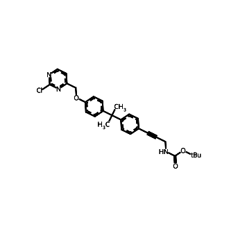 CC(C)(C)OC(=O)NCC#Cc1ccc(C(C)(C)c2ccc(OCc3ccnc(Cl)n3)cc2)cc1